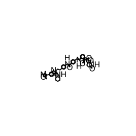 Cc1noc(C)c1-c1ccn2c(NC3CCCCC3)c(CCc3ccc(NC(=O)c4ccc(CNc5cccc6c5C(=O)N(C5CCC(=O)NC5=O)C6=O)cc4)cc3)nc2c1